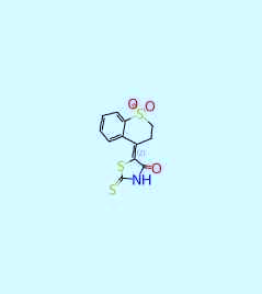 O=C1NC(=S)S/C1=C1/CCS(=O)(=O)c2ccccc21